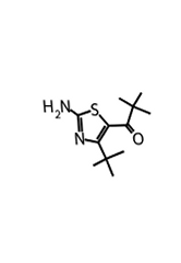 CC(C)(C)C(=O)c1sc(N)nc1C(C)(C)C